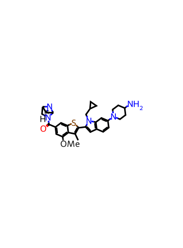 COc1cc(C(=O)N2CC3[C@@H]4C2N34)cc2sc(-c3cc4ccc(N5CCC(N)CC5)cc4n3CC3CC3)c(C)c12